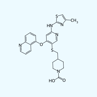 Cc1csc(Nc2cc(Oc3cccc4ncccc34)c(SCC3CCN(C(=O)O)CC3)cn2)n1